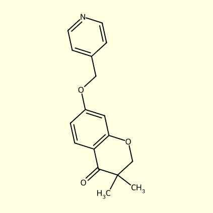 CC1(C)COc2cc(OCc3ccncc3)ccc2C1=O